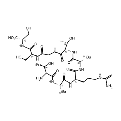 C=C(N)NCCC[C@@H](NC(=O)[C@@H](NC(=O)C(N)[C@H](O)C(C)C)[C@@H](C)CC)C(=O)N[C@H](C(=O)N[C@H](C(=O)NCC(=O)N[C@@H](CO)C(=O)N[C@@H](CO)C(=O)O)[C@H](C)O)[C@@H](C)CC